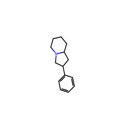 c1ccc(C2CC3CCCCN3C2)cc1